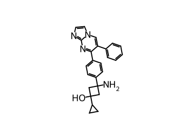 NC1(c2ccc(-c3nc4nccn4cc3-c3ccccc3)cc2)CC(O)(C2CC2)C1